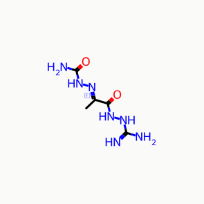 C/C(=N\NC(N)=O)C(=O)NNC(=N)N